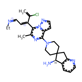 C=C(Cl)/C(=C\C=N/CC)c1c(C)nc(N2CCC3(CC2)Cc2ncccc2[C@H]3N)c2ccnn12